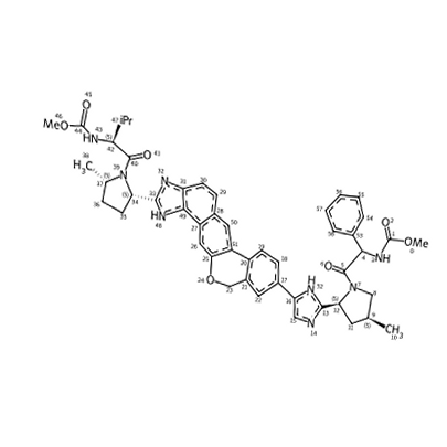 COC(=O)NC(C(=O)N1C[C@@H](C)C[C@H]1c1ncc(-c2ccc3c(c2)COc2cc4c(ccc5nc([C@@H]6CC[C@H](C)N6C(=O)[C@@H](NC(=O)OC)C(C)C)[nH]c54)cc2-3)[nH]1)c1ccccc1